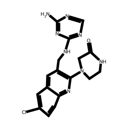 Nc1ncnc(NCc2cc3cc(Cl)ccc3nc2N2CCNC(=O)C2)n1